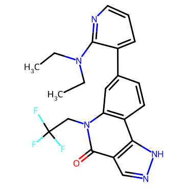 CCN(CC)c1ncccc1-c1ccc2c3[nH]ncc3c(=O)n(CC(F)(F)F)c2c1